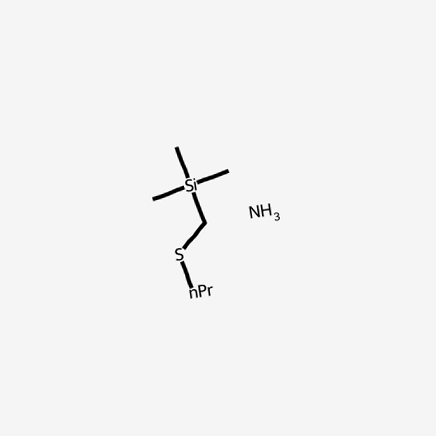 CCCSC[Si](C)(C)C.N